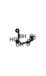 CC(COC(=O)CCC/C=C\C[C@H]1[C@H](CCC(O)CCc2ccccc2)[C@@H](O)C[C@H]1O)O[N+](=O)[O-]